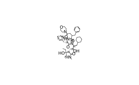 CCC(O)(CC)[C@H](C[C@H](O)[C@H](CC1CCCCC1)NC(=O)[C@H](Cc1cscn1)NC(=O)C(CC(=O)N1CCOCC1)Cc1ccccc1)C(=O)NC